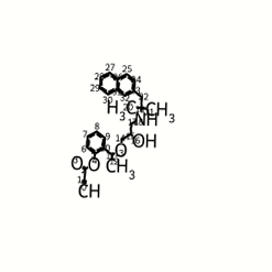 C#CC(=O)Oc1ccccc1C(C)OC[C@H](O)CNC(C)(C)Cc1ccc2ccccc2c1